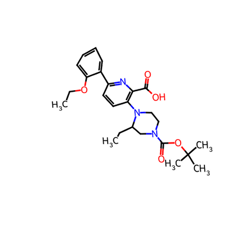 CCOc1ccccc1-c1ccc(N2CCN(C(=O)OC(C)(C)C)CC2CC)c(C(=O)O)n1